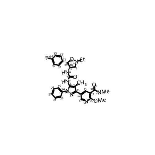 CCN1C[C@@H](NC(=O)Nc2c(C)c(-c3cnc(OC)c(C(=O)NC)c3)nn2-c2ccccc2)[C@H](c2ccc(F)cc2)O1